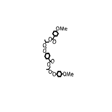 COc1ccc(OCOC(C)COC(=O)c2ccc(OCOC(C)COC(=O)c3ccc(OC)cc3)cc2)cc1